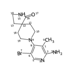 Cc1c(N)ncc(Br)c1N1CCC2(CCNC2=O)CC1